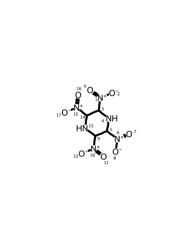 O=[N+]([O-])C1NC([N+](=O)[O-])C([N+](=O)[O-])NC1[N+](=O)[O-]